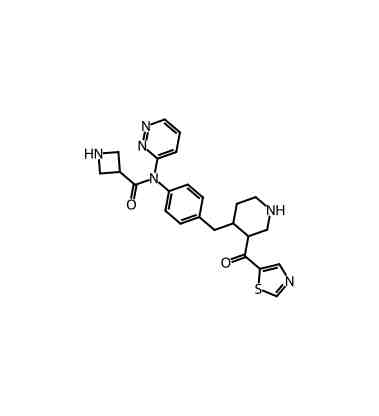 O=C(c1cncs1)C1CNCCC1Cc1ccc(N(C(=O)C2CNC2)c2cccnn2)cc1